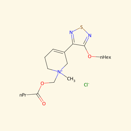 CCCCCCOc1nsnc1C1=CCC[N+](C)(COC(=O)CCC)C1.[Cl-]